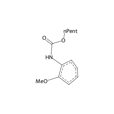 CCCCCOC(=O)Nc1ccccc1OC